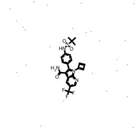 CC(C)(C)S(=O)(=O)Nc1ccc(-c2c(C(N)=O)c3cc(C(F)(F)F)cnc3n2C2=CC=C2)cc1